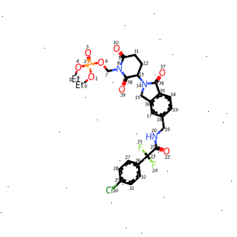 CCOP(=O)(OCC)OCN1C(=O)CCC(N2Cc3cc(CNC(=O)C(F)(F)c4ccc(Cl)cc4)ccc3C2=O)C1=O